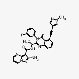 CC(NC(=O)c1c(N)nn2cccnc12)c1nc2cccc(C#Cc3cnn(C)c3)c2c(=O)n1-c1cccc(F)c1